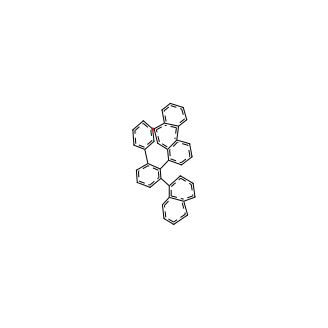 c1ccc(-c2cccc(-c3cccc4ccccc34)c2-c2cccc3c2ccc2ccccc23)cc1